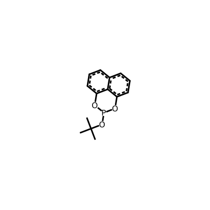 CC(C)(C)OP1Oc2cccc3cccc(c23)O1